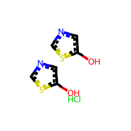 Cl.Oc1cncs1.Oc1cncs1